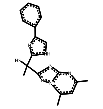 Cc1cc(C)n2nc(C(C)(S)c3nc(-c4ccccc4)c[nH]3)nc2n1